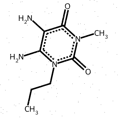 CCCn1c(N)c(N)c(=O)n(C)c1=O